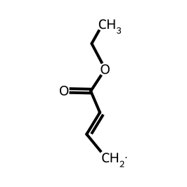 [CH2]C=CC(=O)OCC